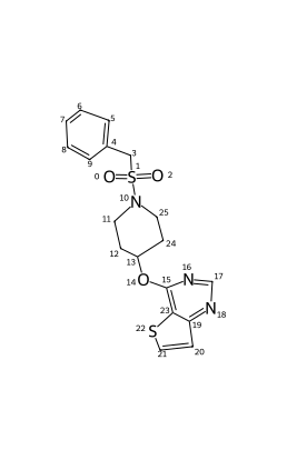 O=S(=O)(Cc1ccccc1)N1CCC(Oc2ncnc3ccsc23)CC1